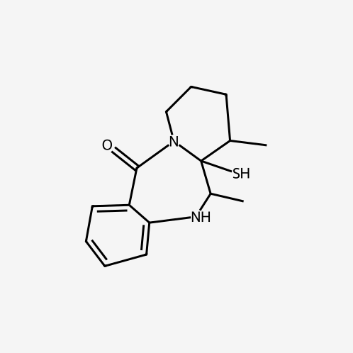 CC1CCCN2C(=O)c3ccccc3NC(C)C12S